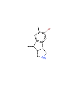 Cc1cc2c(cc1Br)C1CNCC1C2C